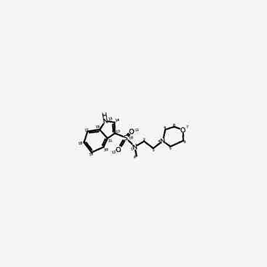 CN(CCN1CCOCC1)S(=O)(=O)c1c[nH]c2ccccc12